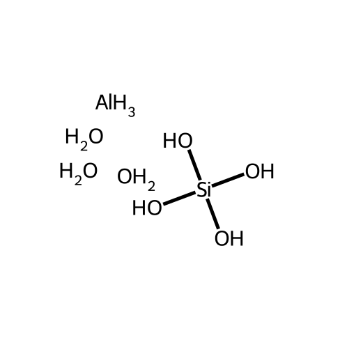 O.O.O.O[Si](O)(O)O.[AlH3]